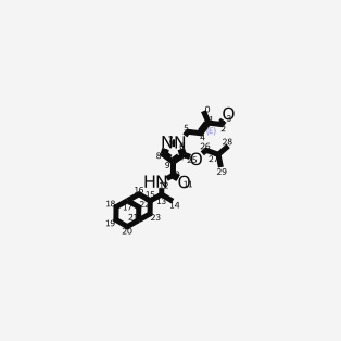 C/C(C=O)=C\Cn1ncc(C(=O)NC(C)C2CC3CCCC(C3)C2)c1OCC(C)C